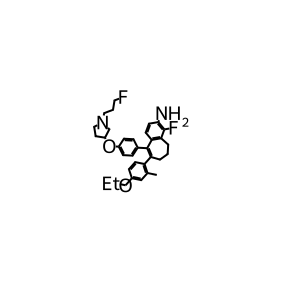 CCOc1ccc(C2=C(c3ccc(O[C@H]4CCN(CCCF)C4)cc3)c3ccc(N)c(F)c3CCC2)c(C)c1